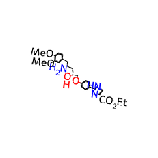 CCOC(=O)c1c[nH]c(-c2ccc(OCC(O)CC(N)Cc3ccc(OC)c(OC)c3)cc2)n1